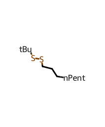 CCCCCCCCSSC(C)(C)C